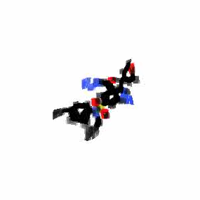 CCc1ccc(N(CC(C)C)S(=O)(=O)c2cc(C(N)=O)c3c(CC4CCOCC4)n[nH]c3c2)cc1